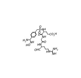 N=C(N)NCCCC(C=O)NC(=O)CNC(=O)C(CCC(=O)O)NS(=O)(=O)Cc1ccc(C(N)NO)cc1